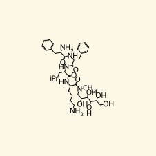 CC(C)C[C@@H](NC(=O)[C@@H](Cc1ccccc1)NC(=O)[C@H](N)Cc1ccccc1)C(=O)N[C@H](CCCCN)C(=O)N(C)C[C@H](O)[C@@H](O)[C@H](O)[C@H](O)CO